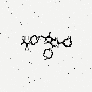 Cc1c(CN2CCN(C(=O)C(C)O)CC2)sc2c(N3CCOCC3)nc(-c3cccnc3)nc12